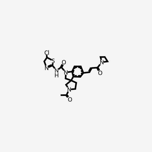 CC(=O)N1CCC2(C1)CN(C(=O)NC1=NCC(Cl)S1)c1ccc(/C=C/C(=O)N3CCC3)cc12